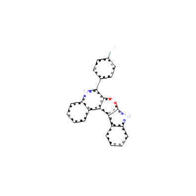 Clc1ccc(-c2nc3ccccc3c3c2oc2[nH]c4ccccc4c23)cc1